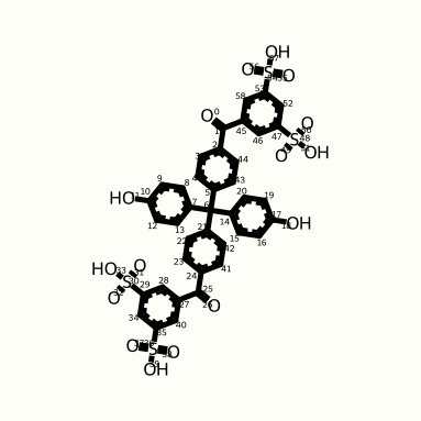 O=C(c1ccc(C(c2ccc(O)cc2)(c2ccc(O)cc2)c2ccc(C(=O)c3cc(S(=O)(=O)O)cc(S(=O)(=O)O)c3)cc2)cc1)c1cc(S(=O)(=O)O)cc(S(=O)(=O)O)c1